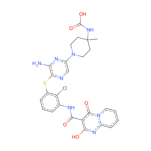 CC1(NC(=O)O)CCN(c2cnc(Sc3cccc(NC(=O)c4c(O)nc5ccccn5c4=O)c3Cl)c(N)n2)CC1